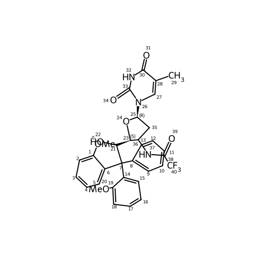 COc1ccccc1C(c1ccccc1)(c1ccccc1OC)C(O)[C@H]1O[C@@H](n2cc(C)c(=O)[nH]c2=O)CC1NC(=O)C(F)(F)F